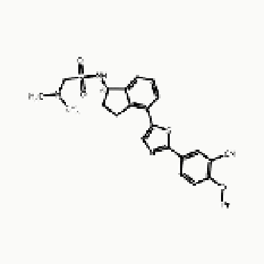 CC(C)Oc1ccc(-c2ncc(-c3cccc4c3CC[C@H]4NS(=O)(=O)CN(C)C)s2)cc1C#N